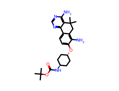 CC(C)(C)OC(=O)N[C@H]1CC[C@H](Oc2ccc3c(c2N)CC(C)(C)c2c(N)ncnc2-3)CC1